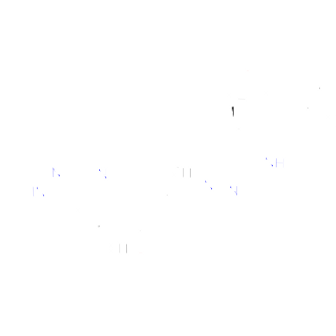 CC1(C)CC(=O)C2=C(C1)Nc1nn(CC3(C)CC(=O)C4=C(C3)Nc3n[nH]cc3C4(C)c3ccccc3)cc1[C@]2(C)c1ccccc1